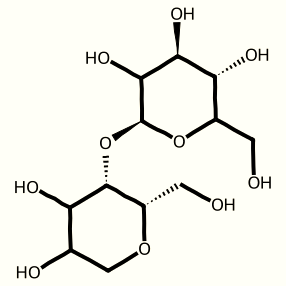 OCC1O[C@@H](O[C@H]2C(O)C(O)CO[C@H]2CO)C(O)[C@@H](O)[C@@H]1O